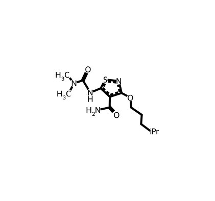 CC(C)CCCOc1nsc(NC(=O)N(C)C)c1C(N)=O